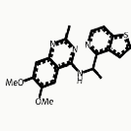 COc1cc2nc(C)nc(NC(C)c3nccc4sccc34)c2cc1OC